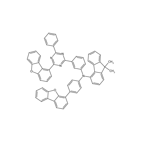 CC1(C)c2ccccc2-c2c(N(c3ccc(-c4cccc5c4oc4ccccc45)cc3)c3cccc(-c4nc(-c5ccccc5)nc(-c5cccc6oc7ccccc7c56)n4)c3)cccc21